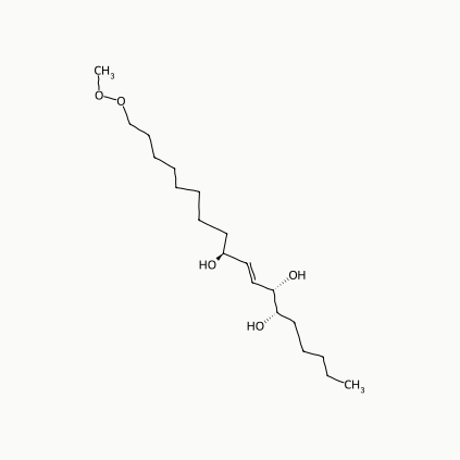 CCCCC[C@H](O)[C@@H](O)/C=C/[C@@H](O)CCCCCCCCOOC